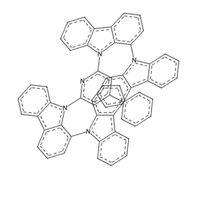 c1ccc(-c2cc(-n3c4ccccc4c4cccc(-n5c6ccccc6c6ccccc65)c43)nc(-n3c4ccccc4c4cccc(-n5c6ccccc6c6ccccc65)c43)c2)cc1